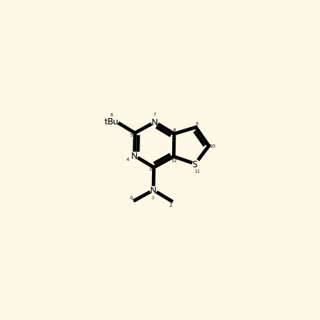 CN(C)c1nc(C(C)(C)C)nc2ccsc12